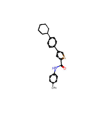 CC(=O)Oc1ccc(NC(=O)c2cc(-c3ccc(C4CCCCC4)cc3)cs2)cc1